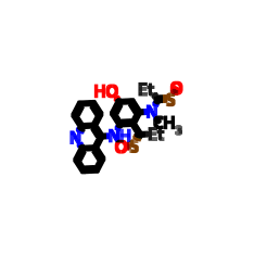 CCC(=S=O)c1c(Nc2c3ccccc3nc3ccccc23)cc(O)cc1N(C)C(CC)=S=O